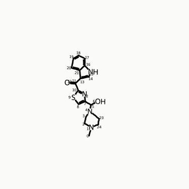 CN1CCN(C(O)c2csc(C(=O)c3c[nH]c4ccccc34)n2)CC1